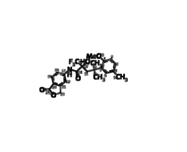 COc1ccc(C)cc1C(C)(C)CC(O)(C(=O)Nc1ccc2c(c1)COC2=O)C(F)(F)F